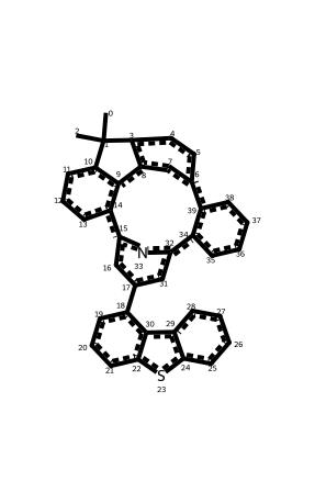 CC1(C)c2ccc3cc2c2c1cccc2c1cc(-c2cccc4sc5ccccc5c24)cc(n1)c1ccccc31